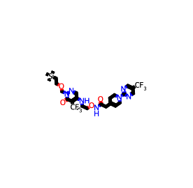 C[C@@H](CONC(=O)CC1=CCN(c2ncc(C(F)(F)F)cn2)CC1)Nc1cnn(COCC[Si](C)(C)C)c(=O)c1C(F)(F)F